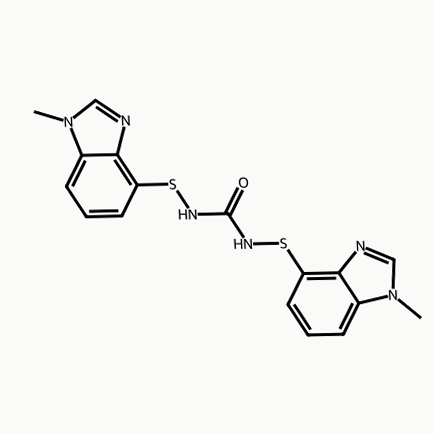 Cn1cnc2c(SNC(=O)NSc3cccc4c3ncn4C)cccc21